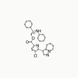 O=C(OC[C@H](Nc1ccccc1)c1ccccc1)c1nc(-c2cnn3ccccc23)c(Cl)s1